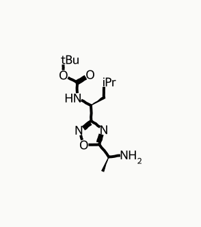 CC(C)C[C@H](NC(=O)OC(C)(C)C)c1noc([C@H](C)N)n1